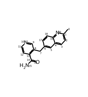 Cc1ccc2cc(Cc3cnccc3C(N)=O)ccc2n1